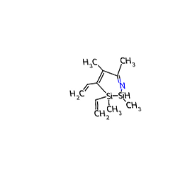 C=CC1=C(C)C(C)=N[SiH](C)[Si]1(C)C=C